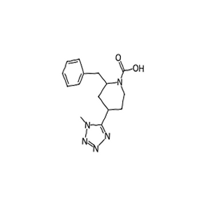 Cn1nnnc1C1CCN(C(=O)O)C(Cc2ccccc2)C1